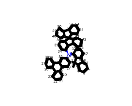 CC1(C)c2ccccc2-c2cccc(N(c3ccc4c5ccccc5c5ccccc5c4c3)c3cccc4c3-c3ccccc3C43c4ccccc4-c4ccccc43)c21